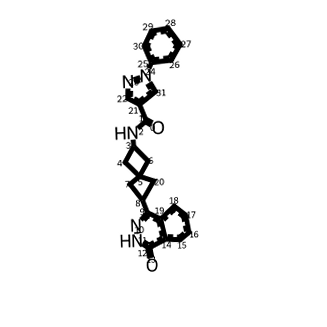 O=C(NC1CC2(C1)CC(c1n[nH]c(=O)c3ccccc13)C2)c1cnn(-c2ccccc2)c1